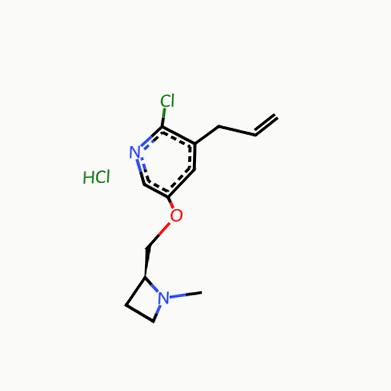 C=CCc1cc(OC[C@@H]2CCN2C)cnc1Cl.Cl